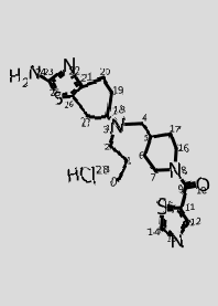 CCCN(CC1CCN(C(=O)c2cncs2)CC1)[C@H]1CCc2nc(N)sc2C1.Cl